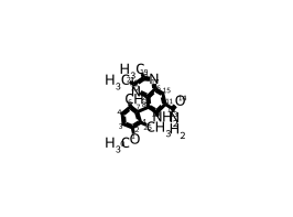 COc1ccc(C)c(-c2c(N)c(C(N)=O)cc3nc(C)c(C)nc23)c1C